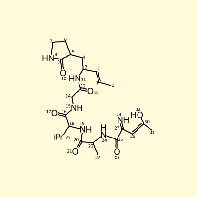 C/C=C/C(CC1CCNC1=O)NC(=O)CNC(=O)C(NC(=O)C(C)NC(=O)C(=N)/C=C(/C)O)C(C)C